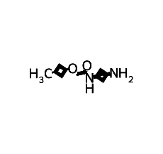 C[C@H]1C[C@@H](OCC(=O)NC23CC(N)(C2)C3)C1